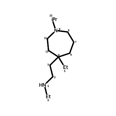 CCNCCC1(CC)CCCN(C(C)C)CC1